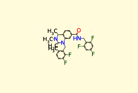 C=C1N(Cc2c(C)ccc(F)c2F)c2cc(C(=O)NCc3c(F)cc(F)cc3F)ccc2C(C)N1C